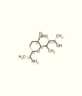 CC([C@H]1O[C@H]([C@@H](C)N)CC[C@H]1N)[C@H](O)[C@H](C)O